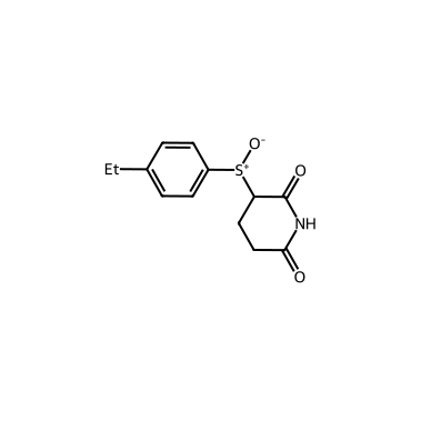 CCc1ccc([S+]([O-])C2CCC(=O)NC2=O)cc1